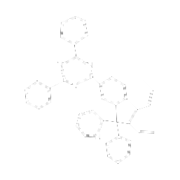 C=CC1=C(/C=C\C)c2ccc(-c3nc(-c4ccccc4)nc(-c4ccccc4)n3)cc2C1(c1ccccc1)c1ccccn1